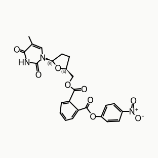 Cc1cn([C@H]2CC[C@@H](COC(=O)c3ccccc3C(=O)Oc3ccc([N+](=O)[O-])cc3)O2)c(=O)[nH]c1=O